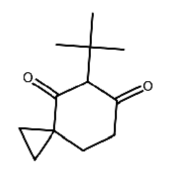 CC(C)(C)C1C(=O)CCC2(CC2)C1=O